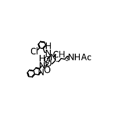 CC(=O)NCCCC[C@@H](COC(=O)Nc1cc2ccccc2cn1)N(C)C(=O)NCc1ccccc1Cl